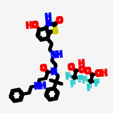 CC(C)(CN(CCNCCc1ccc(O)c2[nH]c(=O)sc12)C(=O)CCNCCc1ccccc1)c1ccccc1.O=C(O)C(F)(F)F.O=C(O)C(F)(F)F